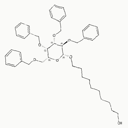 OCCCCCCCCCCO[C@@H]1O[C@H](COCc2ccccc2)[C@H](OCc2ccccc2)[C@H](OCc2ccccc2)[C@H]1OCc1ccccc1